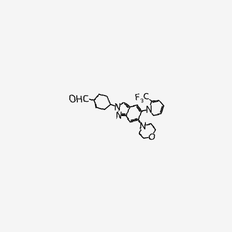 O=CC1CCC(n2cc3cc(N4CC=CC=C4C(F)(F)F)c(N4CCOCC4)cc3n2)CC1